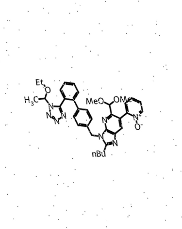 CCCCc1nc2cc(-c3cccc[n+]3[O-])c(C(OC)OC)nc2n1Cc1ccc(-c2ccccc2-c2nnnn2C(C)OCC)cc1